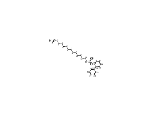 CCCCCCCCCCCCCCCC(=O)Oc1ccccc1-c1ccccc1